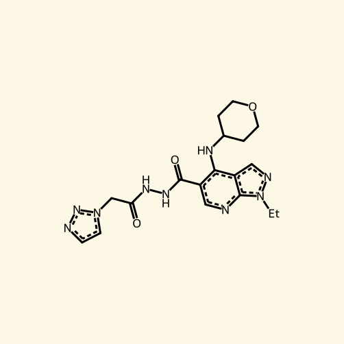 CCn1ncc2c(NC3CCOCC3)c(C(=O)NNC(=O)Cn3ccnn3)cnc21